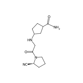 N#C[C@@H]1CCCN1C(=O)CNC1CCC(C(N)=O)C1